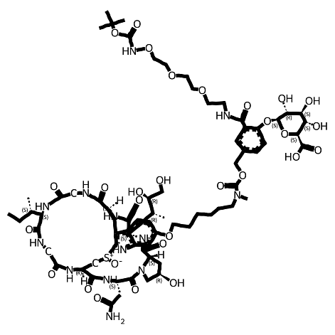 CC[C@H](C)[C@@H]1NC(=O)CNC(=O)[C@@H]2Cc3c([nH]c4cc(OCCCCCCN(C)C(=O)OCc5ccc(O[C@@H]6O[C@H](C(=O)O)[C@@H](O)[C@H](O)[C@H]6O)c(C(=O)NCCOCCOCCONC(=O)OC(C)(C)C)c5)ccc34)[S+]([O-])C[C@H](NC(=O)CNC1=O)C(=O)N[C@@H](CC(N)=O)C(=O)N1C[C@H](O)C[C@H]1C(=O)N[C@@H]([C@@H](C)[C@@H](O)CO)C(=O)N2